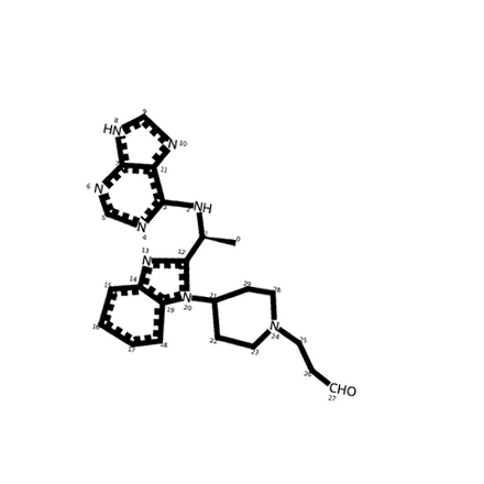 C[C@H](Nc1ncnc2[nH]cnc12)c1nc2ccccc2n1C1CCN(CCC=O)CC1